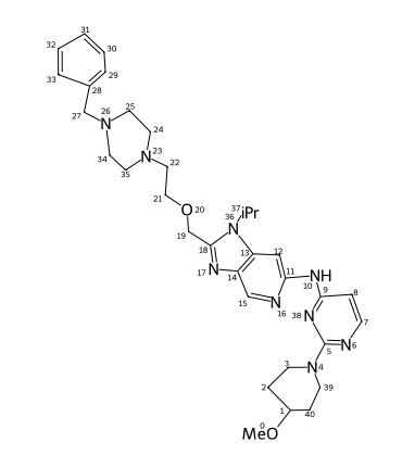 COC1CCN(c2nccc(Nc3cc4c(cn3)nc(COCCN3CCN(Cc5ccccc5)CC3)n4C(C)C)n2)CC1